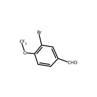 O=Cc1ccc(OC(F)(F)F)c(Br)c1